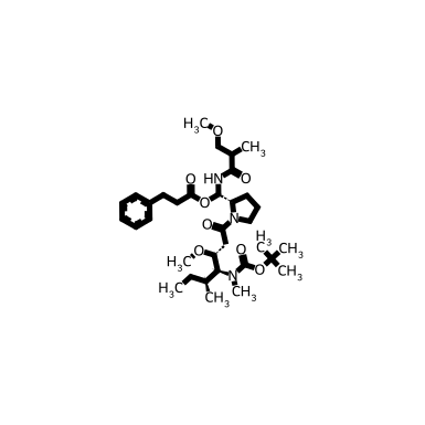 CC[C@H](C)[C@@H]([C@@H](CC(=O)N1CCC[C@H]1C(NC(=O)C(C)COC)OC(=O)CCc1ccccc1)OC)N(C)C(=O)OC(C)(C)C